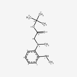 CNc1ncccc1N(C)CC(=O)OC(C)(C)C